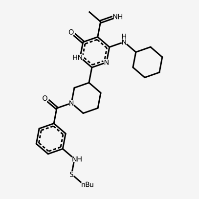 CCCCSNc1cccc(C(=O)N2CCCC(c3nc(NC4CCCCC4)c(C(C)=N)c(=O)[nH]3)C2)c1